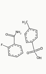 Cc1ccc(S(=O)(=O)O)cc1.NC(=O)c1ccccc1F